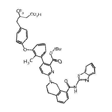 Cc1c(Oc2ccc(CC(CC(=O)O)C(F)(F)F)cc2)cccc1-c1ccc(N2CCc3cccc(C(=O)Nc4nc5ccccc5s4)c3C2)nc1C(=O)OC(C)(C)C